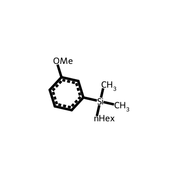 CCCCCC[Si](C)(C)c1cccc(OC)c1